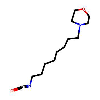 O=C=NCCCCCCCCN1CCOCC1